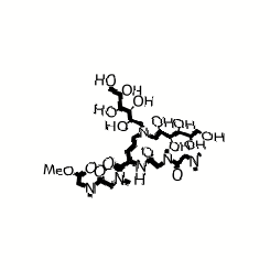 COC(=O)CN(C)C(=O)CN(C)C(=O)C(CCCN(C[C@H](O)[C@@H](O)[C@H](O)[C@H](O)CO)C[C@H](O)[C@@H](O)[C@H](O)[C@H](O)CO)NC(=O)CN(C)C(=O)CN(C)C